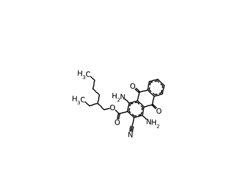 CCCCC(CC)COC(=O)c1c(N)c2c(c(N)c1C#N)C(=O)c1ccccc1C2=O